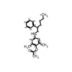 CCCCC(CNc1nc(C)c(OC(C)=O)c(C)n1)c1ccccc1